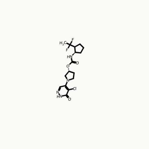 CC(F)(F)C1CCC[C@H]1NC(=O)O[C@@H]1CCN(c2cn[nH]c(=O)c2Cl)C1